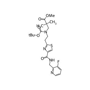 COC(=O)C(C)(C)CN(CCc1nc(C(=O)NCc2ncccc2F)cs1)C(=O)OC(C)(C)C